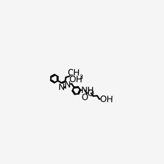 CC(O)Cc1c(-c2ccccc2)ncn1Cc1cccc(NC(=O)OCCCO)c1